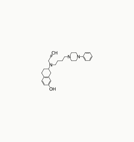 C#CCN(CCCCN1CCN(c2ccccc2)CC1)C1CCc2ccc(O)cc2C1